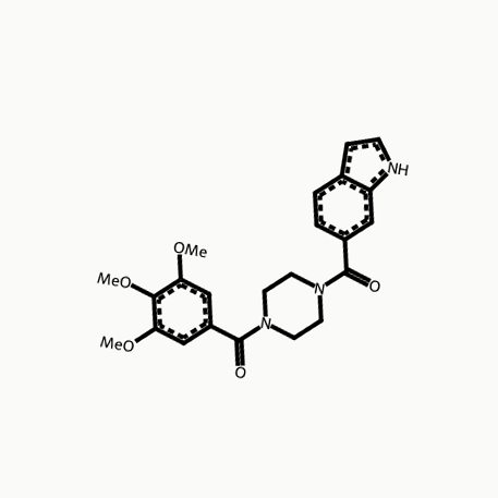 COc1cc(C(=O)N2CCN(C(=O)c3ccc4cc[nH]c4c3)CC2)cc(OC)c1OC